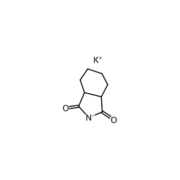 O=C1[N-]C(=O)C2CCCCC12.[K+]